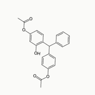 CC(=O)Oc1ccc(C(c2ccccc2)c2ccc(OC(C)=O)cc2O)cc1